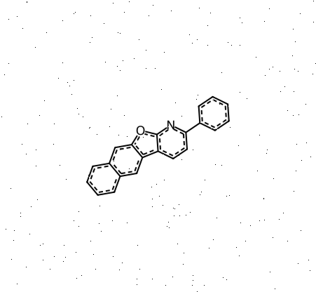 c1ccc(-c2ccc3c(n2)oc2cc4ccccc4cc23)cc1